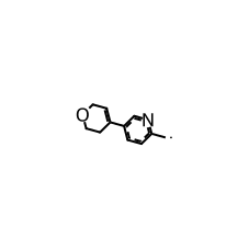 [CH2]c1ccc(C2=CCOCC2)cn1